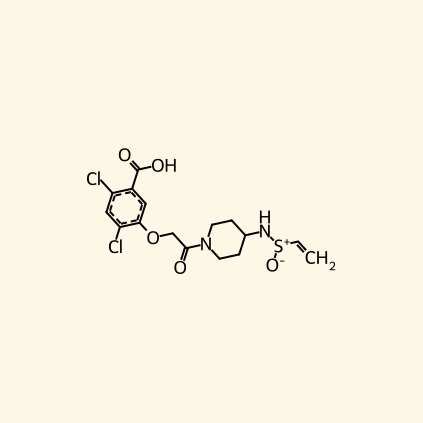 C=C[S+]([O-])NC1CCN(C(=O)COc2cc(C(=O)O)c(Cl)cc2Cl)CC1